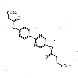 CCCCCCCCCCCCC(=O)Oc1cnc(-c2ccc(OC(=O)CCCCCCCCCCC)cc2)nc1